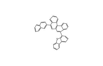 c1ccc2cc(-c3cc4cc(-c5cccc6c5sc5ccccc56)c5ccccc5c4c4ccccc34)ccc2c1